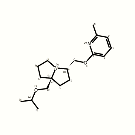 Cc1cccc(OC[C@@H]2CC[C@]3(COC(C)C)CCCN23)n1